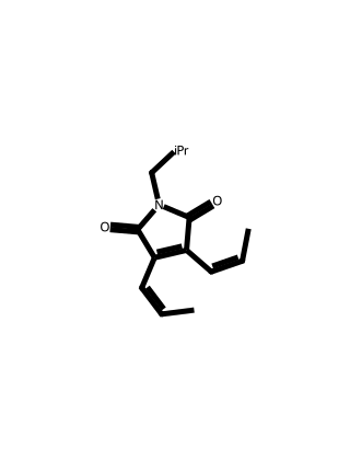 C/C=C\C1=C(/C=C\C)C(=O)N(CC(C)C)C1=O